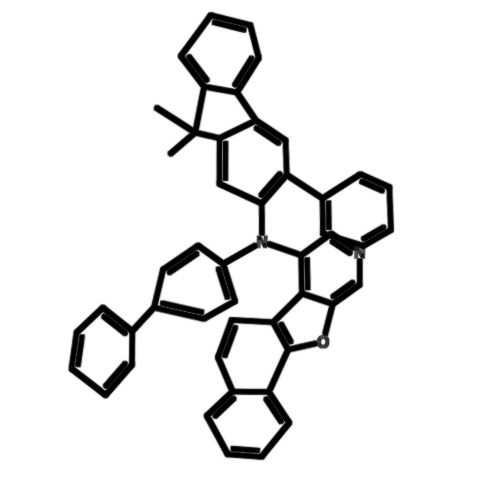 CC1(C)c2ccccc2-c2cc(-c3ccccc3)c(N(c3ccc(-c4ccccc4)cc3)c3cncc4oc5c6ccccc6ccc5c34)cc21